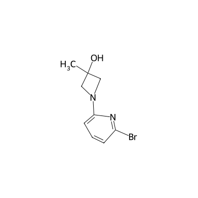 CC1(O)CN(c2cccc(Br)n2)C1